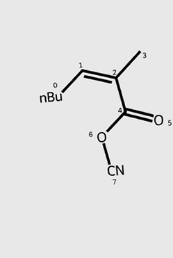 CCCCC=C(C)C(=O)OC#N